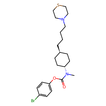 CN(C(=O)Oc1ccc(Br)cc1)[C@H]1CC[C@H](CCCCN2CCSCC2)CC1